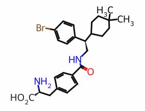 CC1(C)CCC([C@@H](CNC(=O)c2ccc(C[C@H](N)C(=O)O)cc2)c2ccc(Br)cc2)CC1